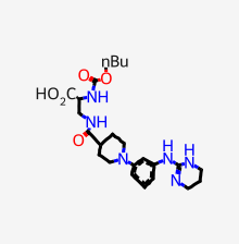 CCCCOC(=O)N[C@@H](CNC(=O)C1CCN(c2cccc(NC3=NCCCN3)c2)CC1)C(=O)O